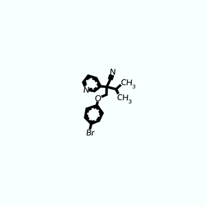 CC(C)C(C#N)(COc1ccc(Br)cc1)c1cccnc1